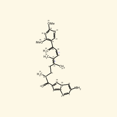 Bc1cnc2cc(C(=O)N(C)CC/C(C)=C(C)/C=C\C(=C)c3cnc(OC)nc3OC)nn2c1